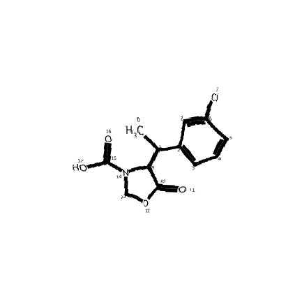 CC(c1cccc(Cl)c1)C1C(=O)OCN1C(=O)O